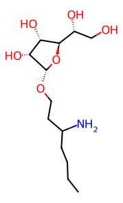 CCCCC(N)CCO[C@H]1O[C@H]([C@H](O)CO)[C@@H](O)[C@H]1O